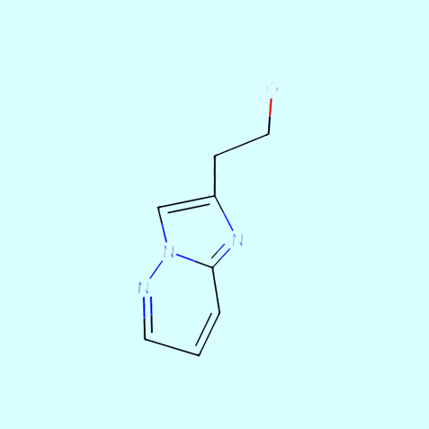 [O]CCc1cn2ncccc2n1